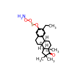 CCc1cc2c(cc1OSOON)CC[C@@H]1[C@@H]2CC[C@]2(C)C(=O)C(C)(C)C[C@@H]12